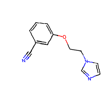 N#Cc1cccc(OCCn2ccnc2)c1